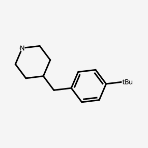 CC(C)(C)c1ccc(CC2CC[N]CC2)cc1